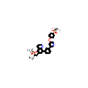 CC(Cc1cc(-c2cccc(-c3cncc(Oc4ccc(S(C)(=O)=O)cc4)c3)c2)c2ncccc2c1)S(C)(=O)=O